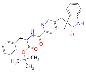 CC(C)(C)OC(=O)[C@@H](Cc1ccccc1)NC(=O)c1cc2c(cn1)CC1(C2)C(=O)Nc2ccccc21